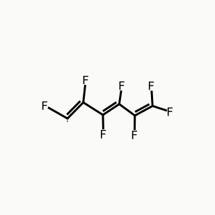 F[C]=C(F)C(F)=C(F)C(F)=C(F)F